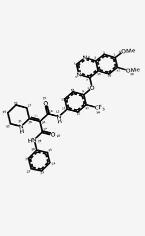 COc1cc2ncnc(Oc3ccc(NC(=O)/C(C(=O)Nc4ccccc4)=C4\CCCCN4)cc3C(F)(F)F)c2cc1OC